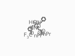 CCCN(CCC)S(=O)(=O)CCC(=O)N[C@@H](Cc1cccc(OC(F)(F)F)c1)[C@@H](O)CNCc1ccccc1